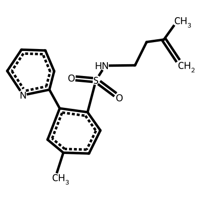 C=C(C)CCNS(=O)(=O)c1ccc(C)cc1-c1ccccn1